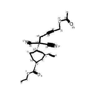 C=C[C@H]1C[C@@H](C(=O)OCC)CC[C@@H]1C(C#N)(C#N)CC#CCOC(C)=O